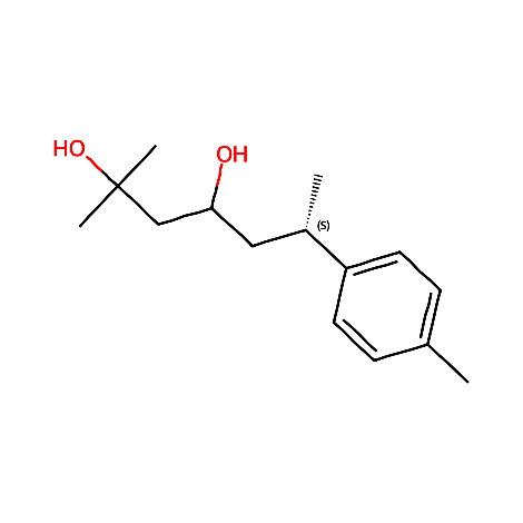 Cc1ccc([C@@H](C)CC(O)CC(C)(C)O)cc1